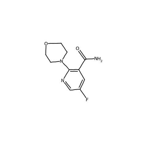 NC(=O)c1cc(F)cnc1N1CCOCC1